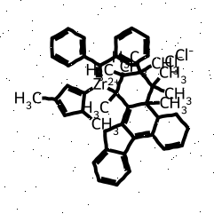 CC1=CC(C)[C]([Zr+2](=[C](c2ccccc2)c2ccccc2)[C]2(C)C3=C4Cc5ccccc5C4=C4C=CCCC4C3(C)C(C)(C)C(C)(C)C2(C)C)=C1.[Cl-].[Cl-]